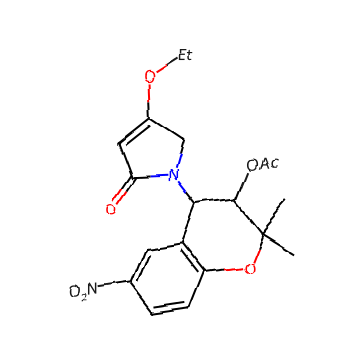 CCOC1=CC(=O)N(C2c3cc([N+](=O)[O-])ccc3OC(C)(C)C2OC(C)=O)C1